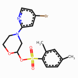 Cc1ccc(S(=O)(=O)OC2CN(c3cc(Br)ccn3)CCO2)c(C)c1